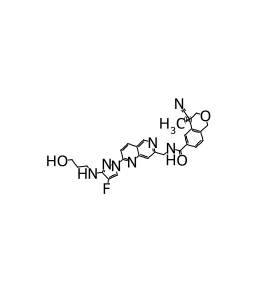 C[C@@]1(C#N)COCc2ccc(C(=O)NCc3cc4nc(-n5cc(F)c(NCCCO)n5)ccc4cn3)cc21